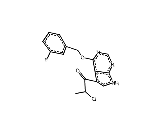 CC(Cl)C(=O)c1c[nH]c2ncnc(OCc3cccc(F)c3)c12